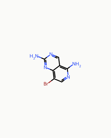 Nc1ncc2c(N)ncc(Br)c2n1